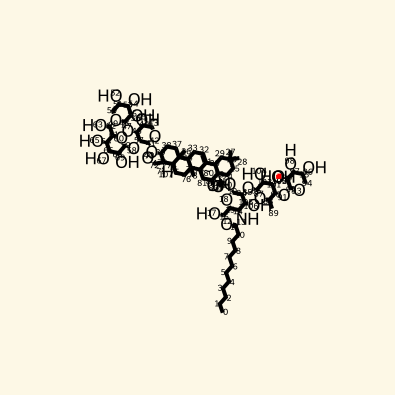 CCCCCCCCCCCC(=O)N[C@H]1C(CO)O[C@@H](OC(=O)[C@]23CCC(C)(C)CC2C2=CCC4C5(C)CC[C@H](O[C@@H]6OC[C@@H](O)[C@H](O[C@@H]7OC[C@@H](O)[C@H](O)C7O)C6O[C@@H]6OC(CO)[C@H](O)[C@H](O)C6O)[C@](C)(C=O)[C@@H]5CCC4(C)[C@]2(C)CC3O)[C@H](O[C@@H]2OC(C)[C@H](O[C@@H]3OC[C@@H](O)C(O)[C@H]3O)C(O)[C@@H]2O)C1O